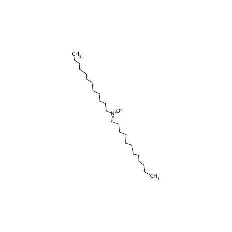 CCCCCCCCCCCC=[N+]([O-])CCCCCCCCCCCC